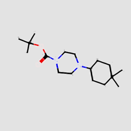 CC1(C)CCC(N2CCN(C(=O)OC(C)(C)C)CC2)CC1